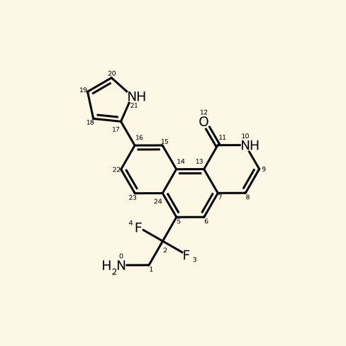 NCC(F)(F)c1cc2cc[nH]c(=O)c2c2cc(-c3ccc[nH]3)ccc12